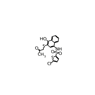 CC(=O)CSc1cc(NS(=O)(=O)c2ccc(Cl)s2)c2ccccc2c1O